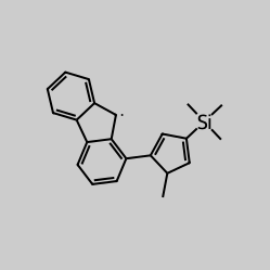 CC1C=C([Si](C)(C)C)C=C1c1cccc2c1[CH]c1ccccc1-2